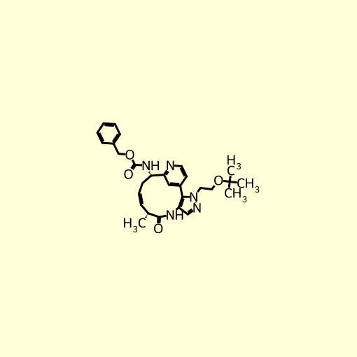 C[C@@H]1C=CC[C@H](NC(=O)OCc2ccccc2)c2cc(ccn2)-c2c(cnn2CCOC(C)(C)C)NC1=O